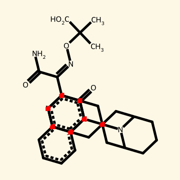 CC(C)(O/N=C(\C(N)=O)c1nc2ccccc2n(C2CC3CCCC(C2)N3C2CC3CCCC(C3)C2)c1=O)C(=O)O